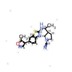 Cc1oncc1-c1ccc2nc(NC(C)C3CCN(C#N)C3)sc2c1